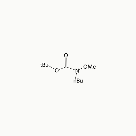 CCCCN(OC)C(=O)OC(C)(C)C